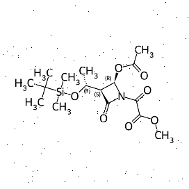 COC(=O)C(=O)N1C(=O)[C@@H]([C@@H](C)O[Si](C)(C)C(C)(C)C)[C@H]1OC(C)=O